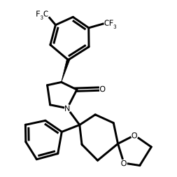 O=C1[C@H](c2cc(C(F)(F)F)cc(C(F)(F)F)c2)CCN1C1(c2ccccc2)CCC2(CC1)OCCO2